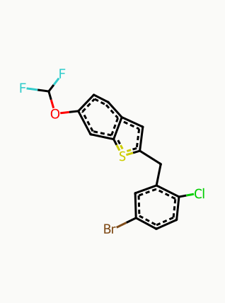 FC(F)Oc1ccc2cc(Cc3cc(Br)ccc3Cl)sc2c1